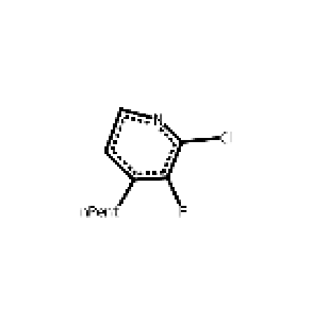 CCCCCc1ccnc(Cl)c1F